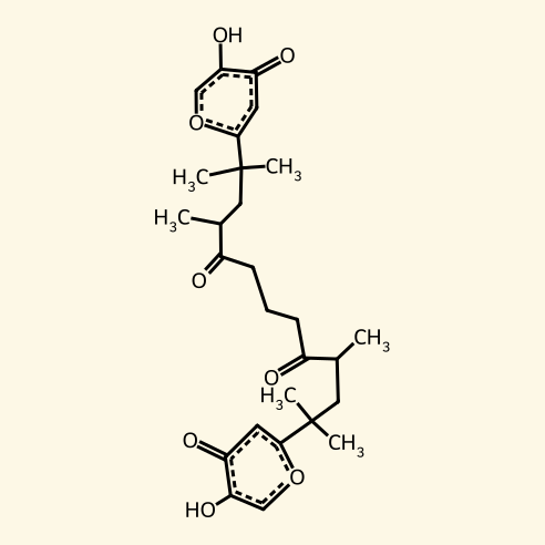 CC(CC(C)(C)c1cc(=O)c(O)co1)C(=O)CCCC(=O)C(C)CC(C)(C)c1cc(=O)c(O)co1